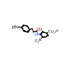 CCc1c(C(=O)O)ccc([N+](=O)[O-])c1NC(=O)CCc1ccc(C(C)(C)C)cc1